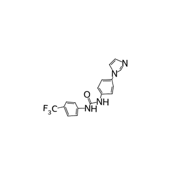 O=C(Nc1ccc(-n2ccnc2)cc1)Nc1ccc(C(F)(F)F)cc1